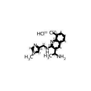 CC(N)c1cc2cccc(Cl)c2nc1NCc1cn(C)cn1.Cl